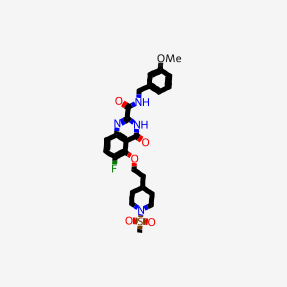 COc1cccc(CNC(=O)c2nc3ccc(F)c(OCCC4CCN(S(C)(=O)=O)CC4)c3c(=O)[nH]2)c1